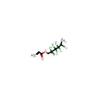 C=CC(=O)OCC(F)(F)C(F)(F)C(F)(F)C(C)F